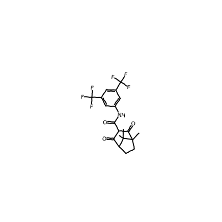 CC12CCC(C(=O)C(C(=O)Nc3cc(C(F)(F)F)cc(C(F)(F)F)c3)C1=O)C2(C)C